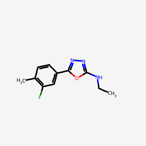 CCNc1nnc(-c2ccc(C)c(F)c2)o1